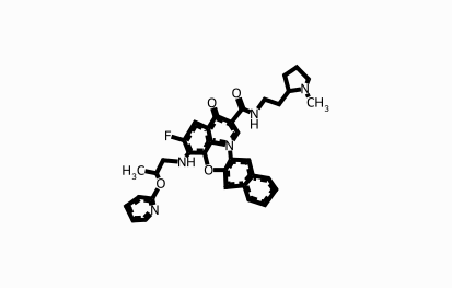 CC(CNc1c(F)cc2c(=O)c(C(=O)NCCC3CCCN3C)cn3c2c1Oc1cc2ccccc2cc1-3)Oc1ccccn1